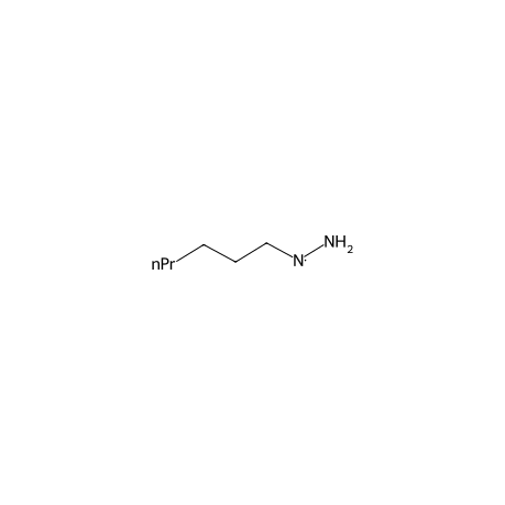 [CH2]CCCCC[N]N